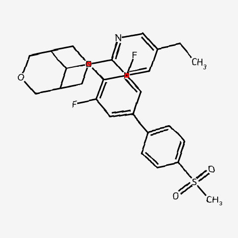 CCc1cnc(N2CC3COCC(C2)C3Oc2c(F)cc(-c3ccc(S(C)(=O)=O)cc3)cc2F)nc1